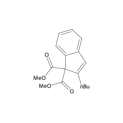 CCCCC1=Cc2ccccc2C1(C(=O)OC)C(=O)OC